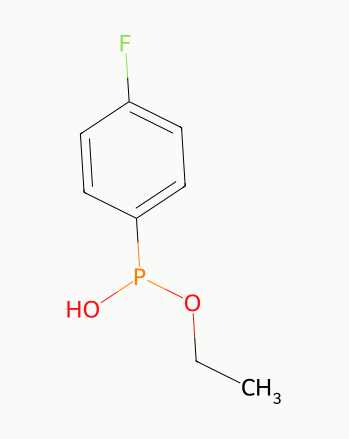 CCOP(O)c1ccc(F)cc1